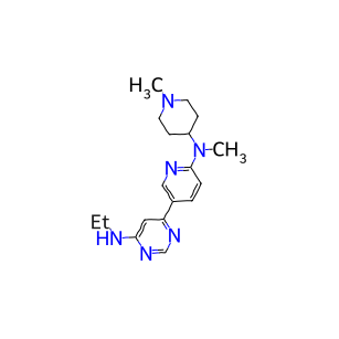 CCNc1cc(-c2ccc(N(C)C3CCN(C)CC3)nc2)ncn1